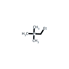 CCC[P+](C)(C)C